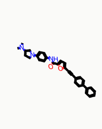 CN(C)C1CCN(c2ccc(NC(=O)c3ccc(C#Cc4ccc(-c5ccccc5)cc4)o3)cc2)C1